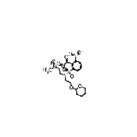 CN(C)CCN(CCOC1CCCCO1)S(=O)(=O)c1cccc([N+](=O)[O-])c1C(=O)N(C)C